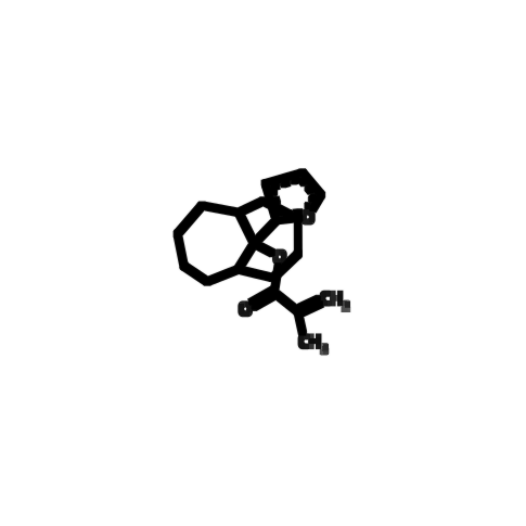 C=C(C)C(=O)OC1(c2ccco2)C2CCCCC1CCCC2